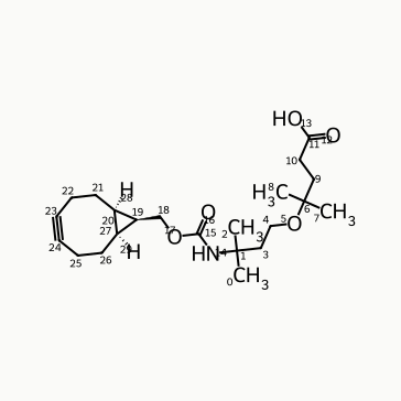 CC(C)(CCOC(C)(C)CCC(=O)O)NC(=O)OC[C@@H]1[C@@H]2CCC#CCC[C@@H]21